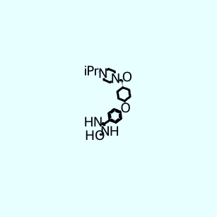 CC(C)N1CCN(C(=O)[C@H]2CC[C@H](Oc3ccc(C(=N)NO)cc3)CC2)CC1